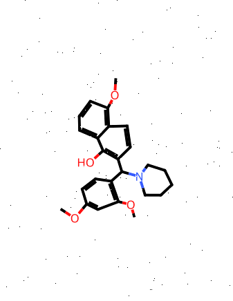 COc1ccc(C(c2ccc3c(OC)cccc3c2O)N2CCCCC2)c(OC)c1